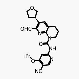 CC(C)Oc1cc(NC(=O)N2CCCc3cc([C@H]4CCOC4)c(C=O)nc32)ncc1C#N